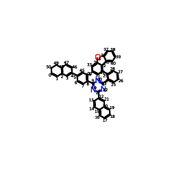 C1=Cc2cc(-c3ccc(-c4nc(-c5ccc6ccccc6c5)nc(-c5ccccc5-c5cccc6oc7ccccc7c56)n4)cc3)ccc2CC1